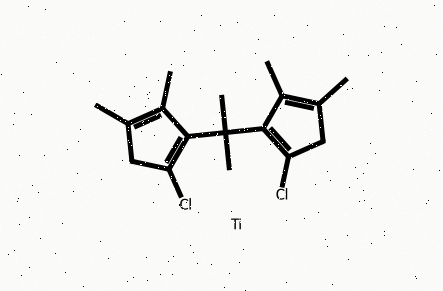 CC1=C(C)C(C(C)(C)C2=C(Cl)CC(C)=C2C)=C(Cl)C1.[Ti]